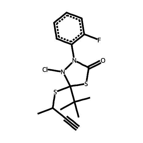 C#CC(C)SC1(C(C)(C)C)SC(=O)N(c2ccccc2F)N1Cl